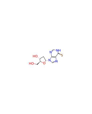 OC[C@@H]1O[C@@H](n2cnc3c(=S)[nH]cnc32)C[C@H]1O